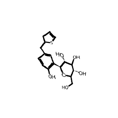 OCC1O[C@@H](c2cc(CC3CC=CS3)ccc2O)[C@H](O)C(O)[C@@H]1O